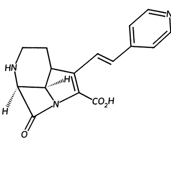 O=C(O)C1=C(/C=C/c2ccncc2)C2CCN[C@@H]3C(=O)N1[C@H]23